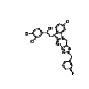 N=c1n(Cc2cn(Cc3cccc(F)c3)nn2)c2cc(Cl)ccc2n1CC(O)c1ccc(Cl)c(Cl)c1